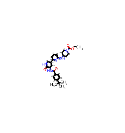 CCOC(=O)N1CCC(Nc2cccc(-c3c[nH]c(=O)c(NC(=O)c4ccc(C(C)(C)C)cc4)c3)n2)CC1